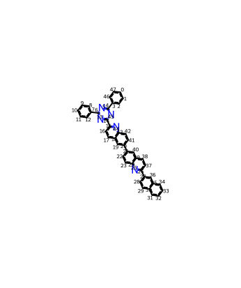 c1ccc(-c2nc(-c3ccccc3)nc(-c3ccc4cc(-c5ccc6nc(-c7ccc8ccccc8c7)ccc6c5)ccc4n3)n2)cc1